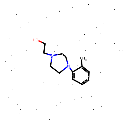 Cc1c[c]ccc1N1CCN(CCO)CC1